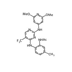 COc1cc(Nc2ncc(C(F)(F)F)c(Nc3ccc(C)cc3NC(C)=O)n2)cc(OC)n1